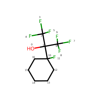 OC(C(F)(F)F)(C(F)(F)F)C1(F)CCCCC1